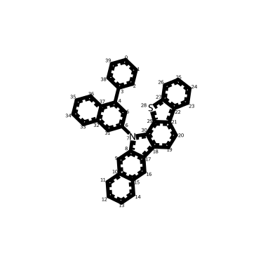 c1ccc(-c2cc(-n3c4cc5ccccc5cc4c4ccc5c6ccccc6sc5c43)cc3ccccc23)cc1